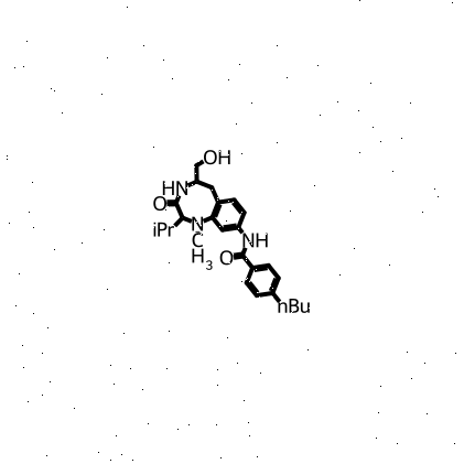 CCCCc1ccc(C(=O)Nc2ccc3c(c2)N(C)C(C(C)C)C(=O)NC(CO)C3)cc1